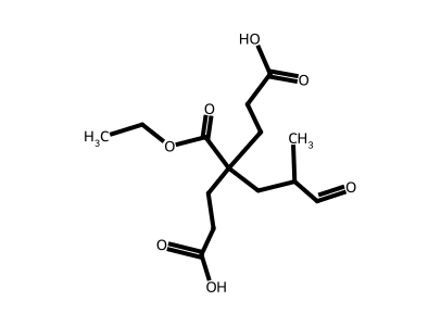 CCOC(=O)C(CCC(=O)O)(CCC(=O)O)CC(C)C=O